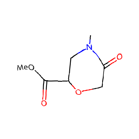 COC(=O)C1CN(C)C(=O)CO1